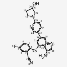 N#Cc1cc(F)ccc1Sc1cc(-c2ccc(N3CC[C@@H](O)C3)nc2)cn2ncc(N)c12